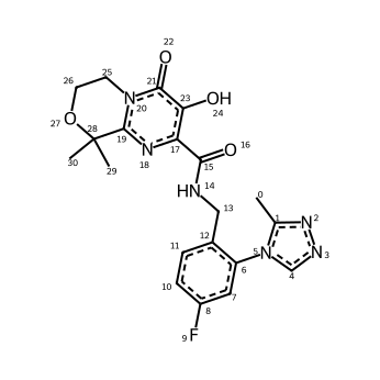 Cc1nncn1-c1cc(F)ccc1CNC(=O)c1nc2n(c(=O)c1O)CCOC2(C)C